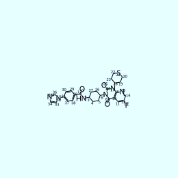 O=C(NC1CCC(n2c(=O)c3cc(F)cnc3n(C3CCSCC3)c2=O)CC1)c1ccc(-n2ccnc2)cc1